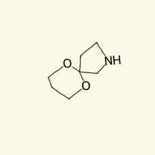 C1COC2(CCNC2)OC1